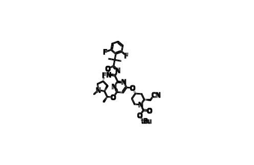 C[C@H](Oc1cc(O[C@H]2CCN(C(=O)OC(C)(C)C)[C@H](CC#N)C2)nc(-c2noc(C(C)(C)c3c(F)cccc3F)n2)n1)[C@@H]1C[C@@H](F)CN1C